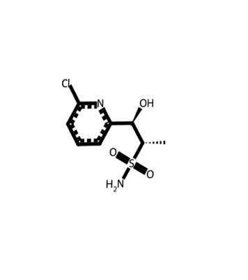 C[C@@H]([C@H](O)c1cccc(Cl)n1)S(N)(=O)=O